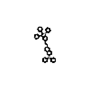 C(=C\c1ccc2c(c1)c(-c1ccccc1)c(-c1ccccc1)n2-c1ccccc1)/c1ccc2cc(N(c3ccccc3)c3ccccc3)ccc2c1